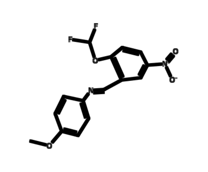 COc1ccc(N=Cc2cc([N+](=O)[O-])ccc2OC(F)F)cc1